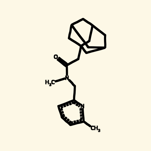 Cc1cccc(CN(C)C(=O)CC23CC4CC(CC(C4)C2)C3)n1